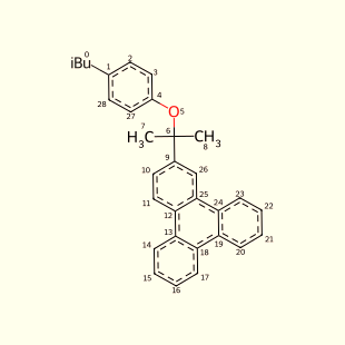 CCC(C)c1ccc(OC(C)(C)c2ccc3c4ccccc4c4ccccc4c3c2)cc1